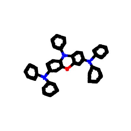 c1ccc(N(c2ccccc2)c2ccc3c(c2)Oc2cc(N(c4ccccc4)c4ccccc4)ccc2N3c2ccccc2)cc1